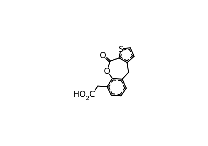 O=C(O)Cc1cccc2c1OC(=O)c1sccc1C2